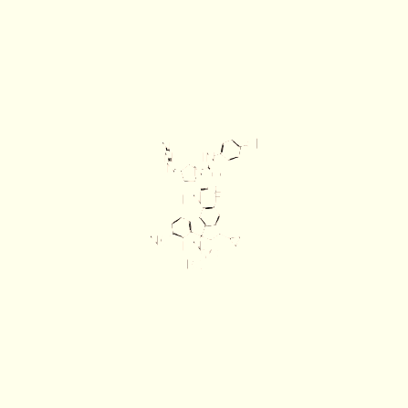 CC(C)(C)[S@@+]([O-])NC(CCC1CC1)(c1cccc(C#N)c1)c1ccc(F)c(NC(=O)[C@H]2C[C@@H](N=[N+]=[N-])CN2C(=O)Nc2ccc(Cl)cc2)c1